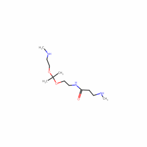 CNCCOC(C)(C)OCCNC(=O)CCNC